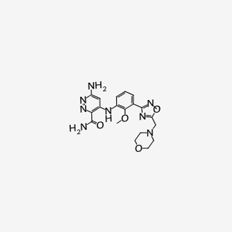 COc1c(Nc2cc(N)nnc2C(N)=O)cccc1-c1noc(CN2CCOCC2)n1